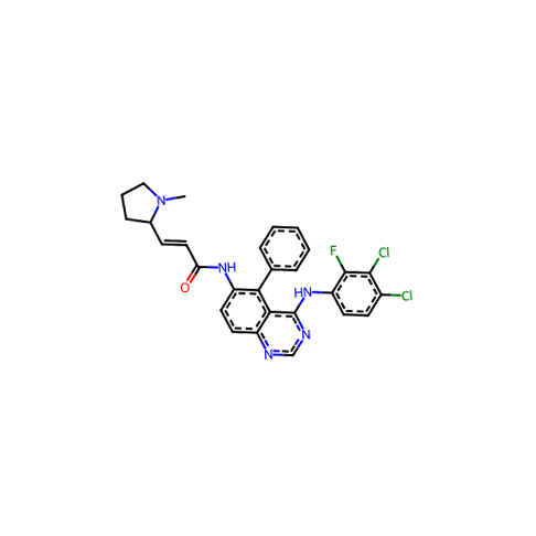 CN1CCCC1C=CC(=O)Nc1ccc2ncnc(Nc3ccc(Cl)c(Cl)c3F)c2c1-c1ccccc1